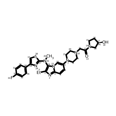 CCc1nc2ccc(N3CCN(CC(=O)N4CC[C@@H](O)C4)CC3)cn2c1N(C)c1nc(-c2ccc(F)cc2)cs1